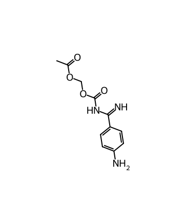 CC(=O)OCOC(=O)NC(=N)c1ccc(N)cc1